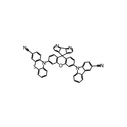 N#Cc1ccc2c(c1)Sc1ccccc1N2c1ccc2c(c1)Oc1cc(-n3c4ccccc4c4cc(C#N)ccc43)ccc1C21c2cccnc2-c2ncccc21